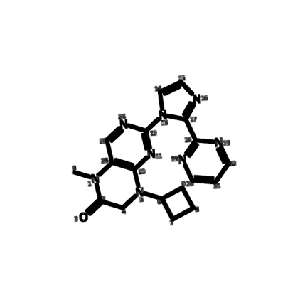 CN1C(=O)CN(C2CCC2)c2nc(-n3ccnc3-c3ncccn3)ncc21